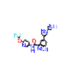 O=C(Nc1ccc(OC(F)F)nc1)c1n[nH]c2ccc(-c3cnn(C4CNC4)c3)cc12